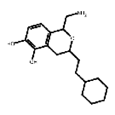 NCC1OC(CCC2CCCCC2)Cc2c1ccc(O)c2O